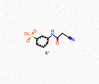 N#CCC(=O)Nc1cccc(S(=O)(=O)[O-])c1.[K+]